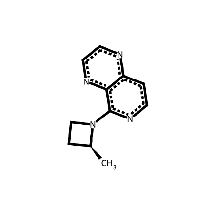 C[C@H]1CCN1c1nccc2nccnc12